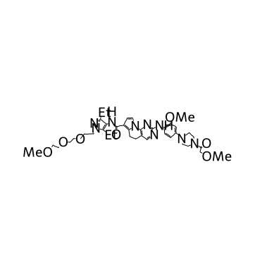 CCc1nn(CCOCCOCCOC)c(CC)c1NC(=O)c1ccn2c1CCc1cnc(Nc3ccc(N4CCN(C(=O)COC)CC4)cc3OC)nc1-2